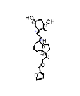 C=C1/C(=C\C=C2/CCC[C@]3(C)[C@@H]([C@H](C)COCc4ccco4)CC[C@@H]23)C[C@@H](O)C[C@@H]1O